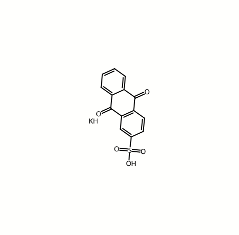 O=C1c2ccccc2C(=O)c2cc(S(=O)(=O)O)ccc21.[KH]